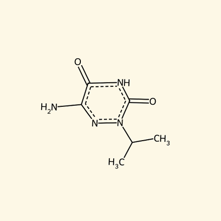 CC(C)n1nc(N)c(=O)[nH]c1=O